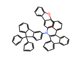 c1ccc(-c2c(N(c3ccc4c(c3)-c3ccccc3C4(c3ccccc3)c3ccccc3)c3ccc4oc5ccccc5c4c3)c3ccccc3c3ccccc23)cc1